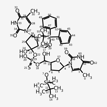 Cc1cn([C@H]2C[C@H](O[Si](C)(C)C(C)(C)C)[C@@H](C(O)OP(O)(=S)O[C@]3(O)C[C@H](n4cc(C)c(=O)[nH]c4=O)O[C@@H]3CO[Si](c3ccccc3)(c3ccccc3)C(C)(C)C)O2)c(=O)[nH]c1=O